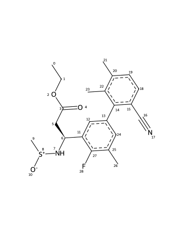 CCOC(=O)C[C@H](N[S+](C)[O-])c1cc(-c2c(C#N)ccc(C)c2C)cc(C)c1F